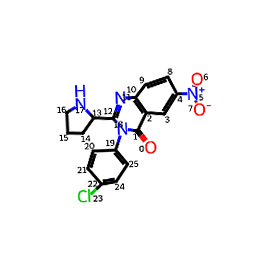 O=c1c2cc([N+](=O)[O-])ccc2nc(C2CCCN2)n1-c1ccc(Cl)cc1